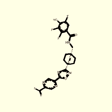 O=C(NC[C@]12CC[C@](c3noc(-c4cnc(C(F)F)cn4)n3)(CC1)CC2)c1cc(F)c(O)c(F)c1F